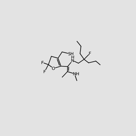 CCCC(F)(CCC)CN/C(C1=C(CS)CC(F)(F)O1)=C(/C)NC